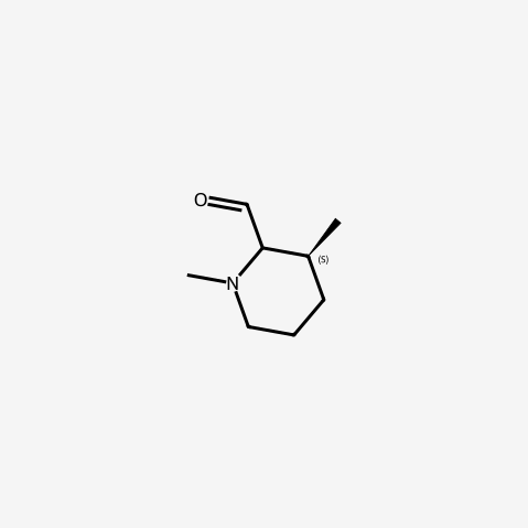 C[C@H]1CCCN(C)C1C=O